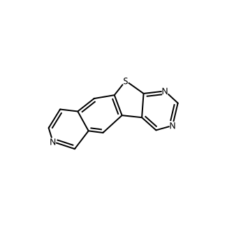 c1cc2cc3sc4ncncc4c3cc2cn1